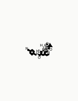 Cn1c(=O)c(C(=O)NCc2ccc(C#N)cc2)cc2ccnc(NC(=O)C3(S(C)(=O)=O)CC3)c21